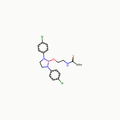 CNC(=S)NCCOP1N(c2ccc(Br)cc2)CCN1c1ccc(Br)cc1